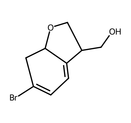 OCC1COC2CC(Br)=CC=C12